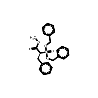 COC(=O)[C@H](Cc1ccccc1)P(=O)(OCc1ccccc1)OCc1ccccc1